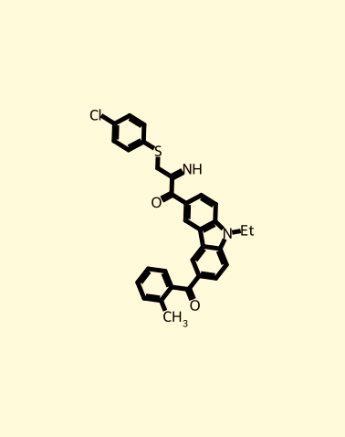 CCn1c2ccc(C(=O)C(=N)CSc3ccc(Cl)cc3)cc2c2cc(C(=O)c3ccccc3C)ccc21